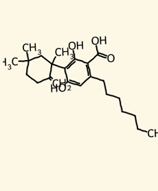 C=C1CCC(C)(C)CC1(C)c1c(O)cc(CCCCCCC)c(C(=O)O)c1O